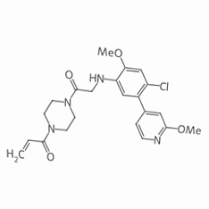 C=CC(=O)N1CCN(C(=O)CNc2cc(-c3ccnc(OC)c3)c(Cl)cc2OC)CC1